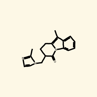 Cc1c2n(c3ccccc13)C(=O)C(Cn1ccnc1C)CC2